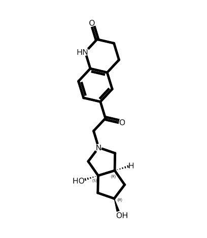 O=C1CCc2cc(C(=O)CN3C[C@H]4C[C@@H](O)C[C@@]4(O)C3)ccc2N1